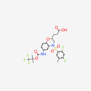 Cc1cc(S(=O)(=O)N2CC(CCC(=O)O)Oc3ccc(NC(=O)OC(C)(C)C(F)(F)F)cc32)c(F)cc1F